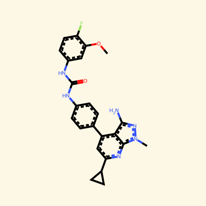 COc1cc(NC(=O)Nc2ccc(-c3cc(C4CC4)nc4c3c(N)nn4C)cc2)ccc1F